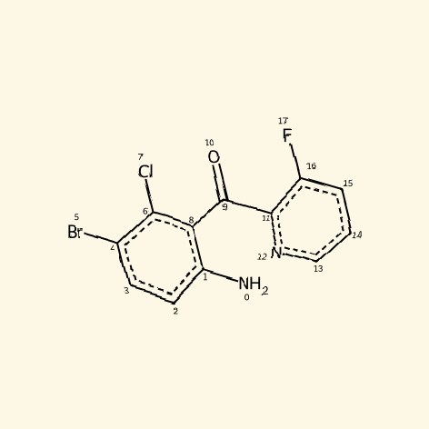 Nc1ccc(Br)c(Cl)c1C(=O)c1ncccc1F